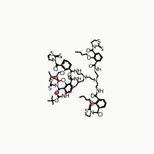 CCCCOc1c(C(=O)NCCN(CCNC(=O)c2cccc(C(=O)N3CCSC3=S)c2OCCCC)CCN(CCNC(=O)c2cccc(C(=O)N3CCSC3=S)c2OCCCC)CC(CCCCNC(=O)OC(C)(C)C)NC(=O)c2cccc(C(=O)N3CCSC3=S)c2OCCCC)cccc1C(=O)N1CCSC1=S